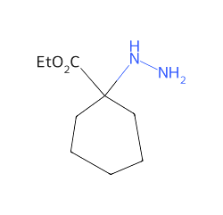 CCOC(=O)C1(NN)CCCCC1